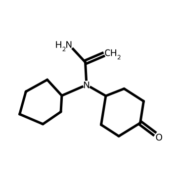 C=C(N)N(C1CCCCC1)C1CCC(=O)CC1